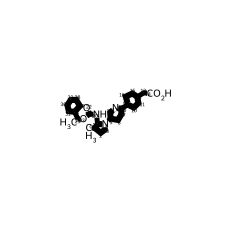 Cc1ccn(-c2ccc(-c3ccc(CC(=O)O)cc3)nc2)c1NC(=O)OC(C)c1ccccc1